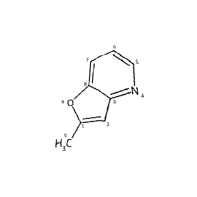 Cc1cc2ncccc2o1